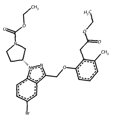 CCOC(=O)Cc1c(C)cccc1OCc1nn([C@@H]2CCN(C(=O)OCC)C2)c2ccc(Br)cc12